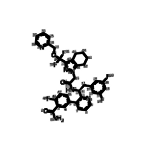 NC(=O)c1cc(-c2cccnc2[C@H](Cc2cc(F)cc(F)c2)NC(=O)Cn2nc(C(F)(F)OCc3ccccn3)c3c2CCCC3)ccc1F